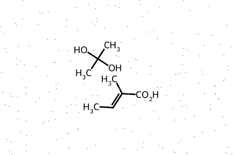 CC(C)(O)O.CC=C(C)C(=O)O